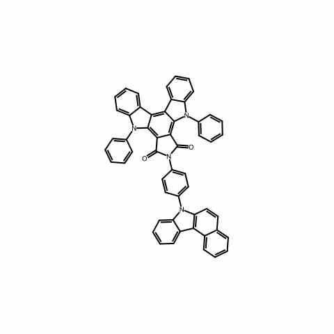 O=C1c2c(c3c(c4ccccc4n3-c3ccccc3)c3c4ccccc4n(-c4ccccc4)c23)C(=O)N1c1ccc(-n2c3ccccc3c3c4ccccc4ccc32)cc1